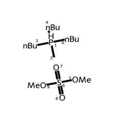 CCCC[PH](C)(CCCC)CCCC.COS(=O)(=O)OC